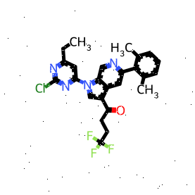 CCc1cc(-n2cc(C(=O)CCC(F)(F)F)c3cc(-c4c(C)cccc4C)ncc32)nc(Cl)n1